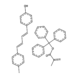 C=C(C)C(=O)OC(c1ccccc1)(c1ccccc1)c1ccccc1.Cc1ccc(C=CC=Cc2ccc(O)cc2)cc1